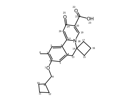 Cc1cc2c(cc1OCC1CCC1)CC1(CCC1)n1cc(C(=O)O)c(=O)cc1-2